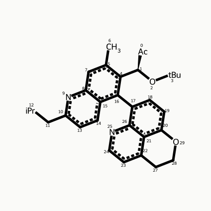 CC(=O)[C@@H](OC(C)(C)C)c1c(C)cc2nc(CC(C)C)ccc2c1-c1ccc2c3c(ccnc13)CCO2